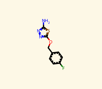 Nc1nnc(OCc2ccc(F)cc2)s1